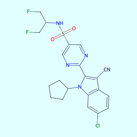 N#Cc1c(-c2ncc(S(=O)(=O)NC(CF)CF)cn2)n(C2CCCC2)c2cc(Cl)ccc12